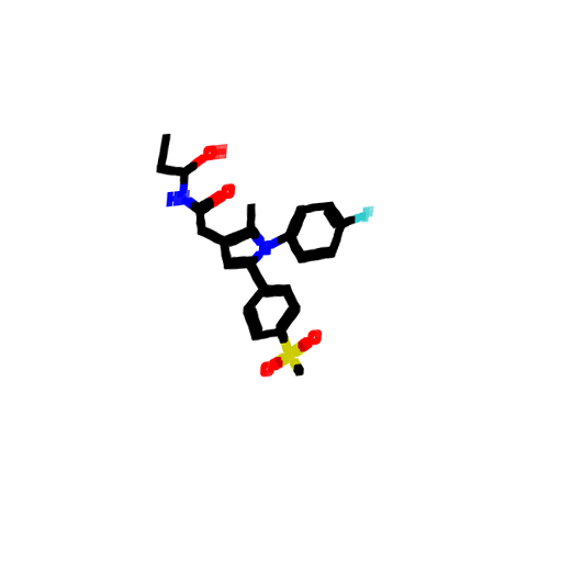 CCC(O)NC(=O)Cc1cc(-c2ccc(S(C)(=O)=O)cc2)n(-c2ccc(F)cc2)c1C